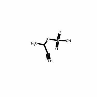 C#CC(C)OS(=O)(=O)O